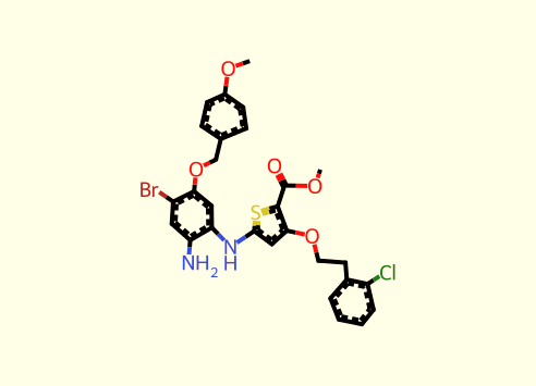 COC(=O)c1sc(Nc2cc(OCc3ccc(OC)cc3)c(Br)cc2N)cc1OCCc1ccccc1Cl